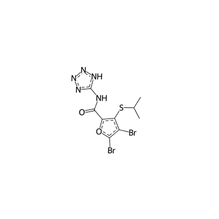 CC(C)Sc1c(C(=O)Nc2nnn[nH]2)oc(Br)c1Br